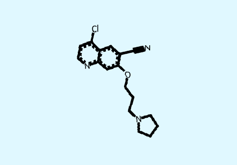 N#Cc1cc2c(Cl)ccnc2cc1OCCCN1CCCC1